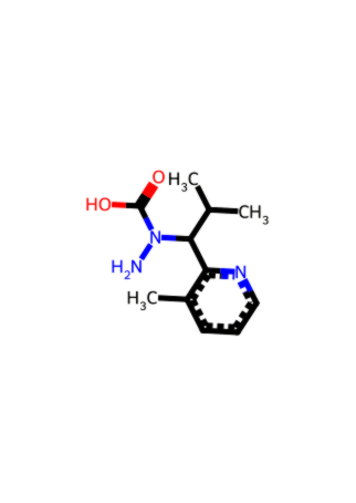 C[C](C)C(c1ncccc1C)N(N)C(=O)O